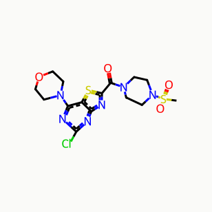 CS(=O)(=O)N1CCN(C(=O)c2nc3nc(Cl)nc(N4CCOCC4)c3s2)CC1